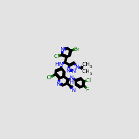 CC(C)n1cc(C(Nc2cc(Cl)c3ncc(C#N)c(Nc4ccc(F)c(Cl)c4)c3c2)c2cc(Br)cnc2Cl)nn1